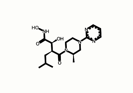 CC(C)C[C@H](C(=O)N1CCN(c2ncccn2)C[C@H]1C)[C@H](O)C(=O)NO